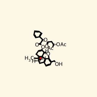 CC(=O)O[C@@H](CC(=O)O[C@H](C(=O)OC1=CC[C@@]2(O)[C@H]3Cc4ccc(CO)c5c4[C@@]2(CCN3C)[C@H]1O5)c1ccccc1)C(C)=O